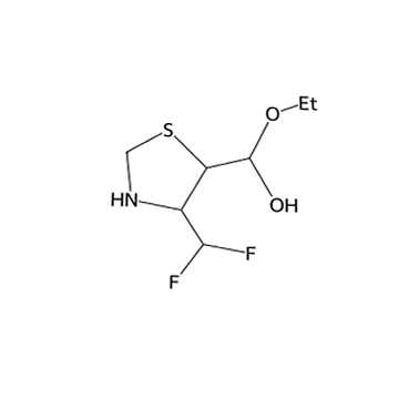 CCOC(O)C1SCNC1C(F)F